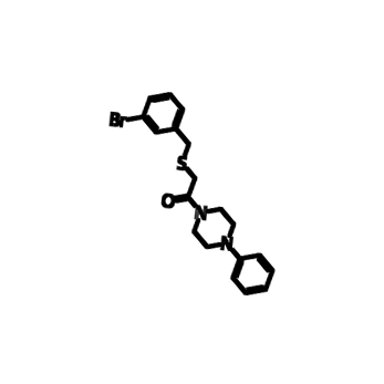 O=C(CSCc1cccc(Br)c1)N1CCN(c2ccccc2)CC1